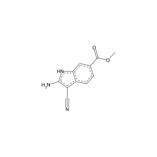 COC(=O)c1ccc2c(C#N)c(N)[nH]c2c1